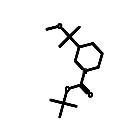 COC(C)(C)C1CCCN(C(=O)OC(C)(C)C)C1